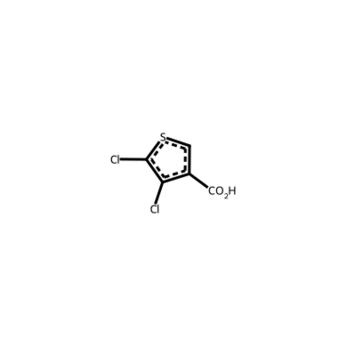 O=C(O)c1csc(Cl)c1Cl